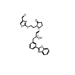 O=Cc1csc(SCCN2C(=O)CC[C@@H]2/C=C/[C@@H](O)Cc2cccc(-c3nc4ccccc4o3)c2)n1